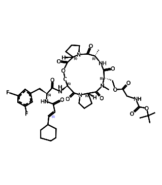 C[C@@H]1NC(=O)[C@H](COC(=O)CNC(=O)OC(C)(C)C)N(C)C(=O)[C@@H]2CCCN2C(=O)[C@@H](NC(=O)[C@H](Cc2cc(F)cc(F)c2)NC(=O)/C=C/C2CCCCC2)COC(=O)[C@@H]2CCCN2C1=O